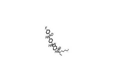 CCCCCC(CC)NC(=O)c1ccc2[nH]c(-c3ccc(NC(=O)c4ccc(F)cc4)cc3)nc2c1